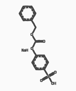 O=C(OCc1ccccc1)Oc1ccc(S(=O)(=O)O)cc1.[NaH]